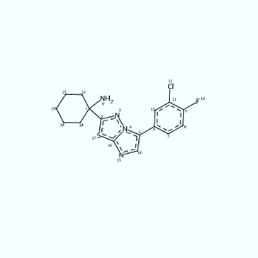 NC1(c2nn3c(-c4ccc(F)c(Cl)c4)cnc3s2)CCCCC1